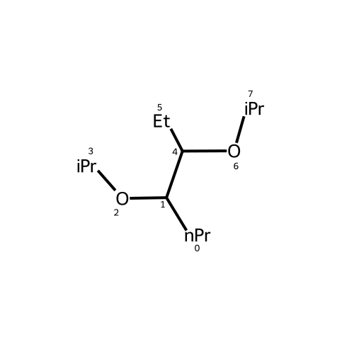 CCCC(OC(C)C)C(CC)OC(C)C